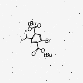 CC(C)(C)OC(=O)c1cc(C(F)F)c(C(=O)OC(C)(C)C)cc1Br